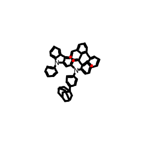 c1ccc(-c2cccc3cccc(-c4ccccc4N(c4ccc(C56CC7CC(CC(C7)C5)C6)cc4)c4ccc5c6ccccc6n(-c6ccccc6)c5c4)c23)cc1